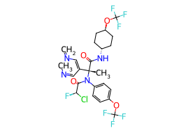 C=N/C=C(\C=N/C)[C@](C)(C(=O)N[C@H]1CC[C@H](OC(F)(F)F)CC1)N(C(=O)[C@H](F)Cl)c1ccc(OC(F)(F)F)cc1